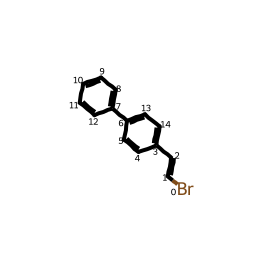 BrC=Cc1ccc(-c2ccccc2)cc1